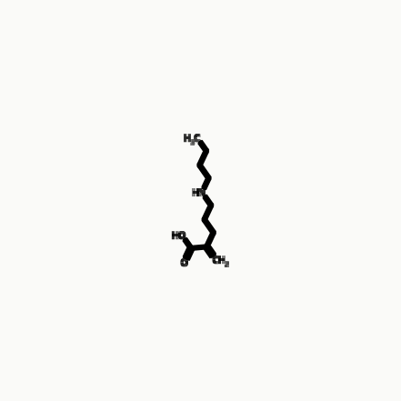 C=C(CCCNCCCC)C(=O)O